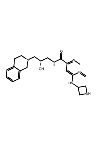 C=N/C(=C\C(=N/C)C(=O)NC[C@H](O)CN1CCc2ccccc2C1)NC1CNC1